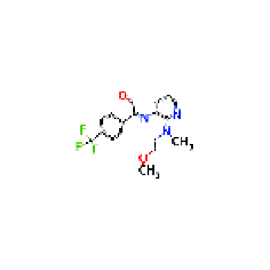 COCCN(C)c1ncccc1/N=C(\C=O)c1ccc(C(F)(F)F)cc1